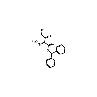 CC(=O)ON=C(C(=O)CBr)C(=O)OC(c1ccccc1)c1ccccc1